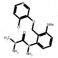 CSc1cccc(N(N)C(=O)N(C)N)c1COc1cnccc1Cl